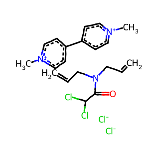 C=CCN(CC=C)C(=O)C(Cl)Cl.C[n+]1ccc(-c2cc[n+](C)cc2)cc1.[Cl-].[Cl-]